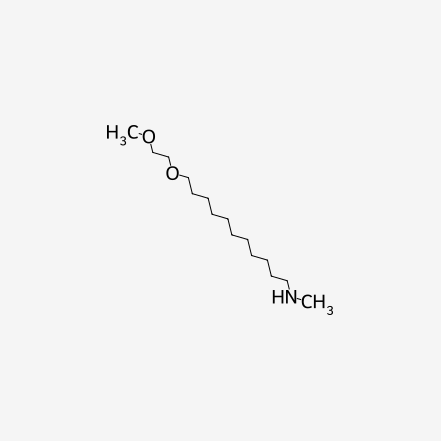 CNCCCCCCCCCCCOCCOC